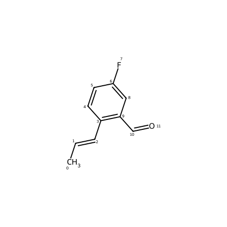 C/C=C/c1ccc(F)cc1C=O